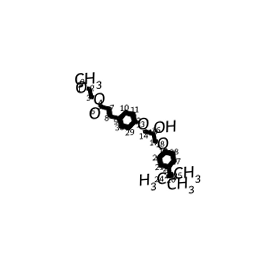 COCCOC(=O)C=Cc1ccc(OCC(O)COc2ccc(C(C)(C)C)cc2)cc1